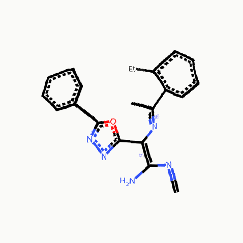 C=N/C(N)=C(\N=C(/C)c1ccccc1CC)c1nnc(-c2ccccc2)o1